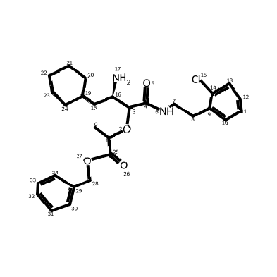 CC(OC(C(=O)NCCc1ccccc1Cl)[C@H](N)CC1CCCCC1)C(=O)OCc1ccccc1